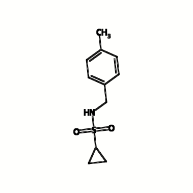 Cc1ccc(CNS(=O)(=O)C2CC2)cc1